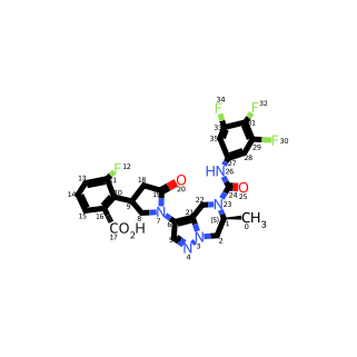 C[C@H]1Cn2ncc(N3CC(c4c(F)cccc4C(=O)O)CC3=O)c2CN1C(=O)Nc1cc(F)c(F)c(F)c1